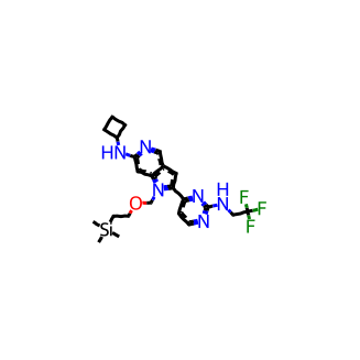 C[Si](C)(C)CCOCn1c(-c2ccnc(NCC(F)(F)F)n2)cc2cnc(NC3CCC3)cc21